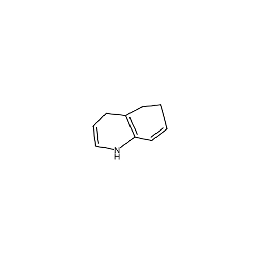 C1=CC2=C(CC=CN2)CC1